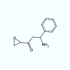 NC(CC(=O)C1CO1)c1ccccc1